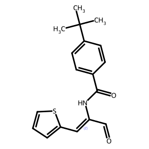 CC(C)(C)c1ccc(C(=O)N/C(C=O)=C\c2cccs2)cc1